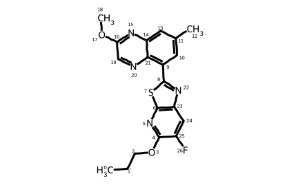 C[CH]COc1nc2sc(-c3cc(C)cc4nc(OC)cnc34)nc2cc1F